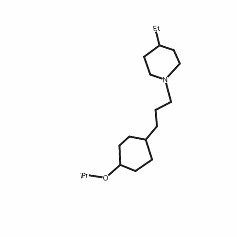 CCC1CCN(CCCC2CCC(OC(C)C)CC2)CC1